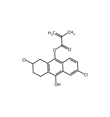 C=C(C)C(=O)Oc1c2c(c(O)c3cc(Cl)ccc13)CCC(Cl)C2